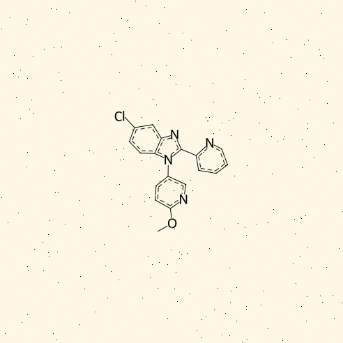 COc1ccc(-n2c(-c3ccccn3)nc3cc(Cl)ccc32)cn1